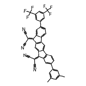 Cc1cc(C)cc(-c2ccc3c(c2)C(=C(C#N)C#N)c2cc4c(cc2-3)-c2ccc(-c3cc(C(F)(F)F)cc(C(F)(F)F)c3)cc2C4=C(C#N)C#N)c1